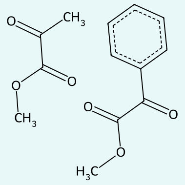 COC(=O)C(=O)c1ccccc1.COC(=O)C(C)=O